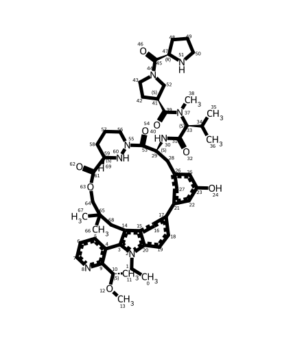 CCn1c(-c2cccnc2[C@H](C)OC)c2c3cc(ccc31)-c1cc(O)cc(c1)C[C@H](NC(=O)[C@H](C(C)C)N(C)C(=O)[C@H]1CCN(C(=O)[C@H]3CCCN3)C1)C(=O)N1CCC[C@H](N1)C(=O)OCC(C)(C)C2